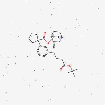 CC(C)(C)OC(=O)CCCc1cccc(C2(C(=O)O[C@H]3CN4CCC3CC4)CCCC2)c1